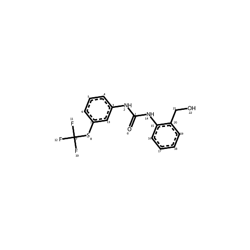 O=C(Nc1cccc(SC(F)(F)F)c1)Nc1ccccc1CO